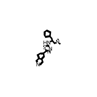 CN(C)CC(Cc1ccccc1)Nc1nnc(-c2ccc3cnccc3c2)s1